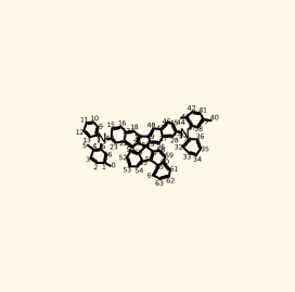 Cc1ccc(C)c(N(c2ccccc2)c2ccc3cc4c(cc3c2)C2(c3cc5cc(N(c6ccccc6)c6cc(C)ccc6C)ccc5cc3-4)c3ccccc3-c3c2ccc2ccccc32)c1